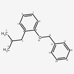 C[C](C)Cc1ccccc1OCc1ccccc1